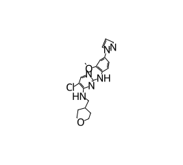 COc1cc(-n2cccn2)ccc1Nc1ncc(Cl)c(NCC2CCOCC2)n1